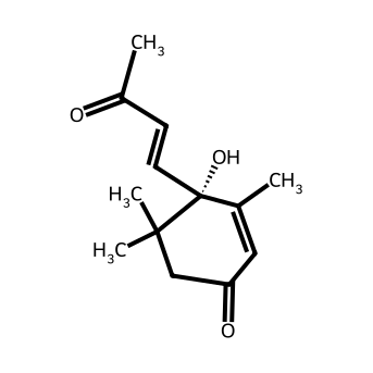 CC(=O)/C=C/[C@@]1(O)C(C)=CC(=O)CC1(C)C